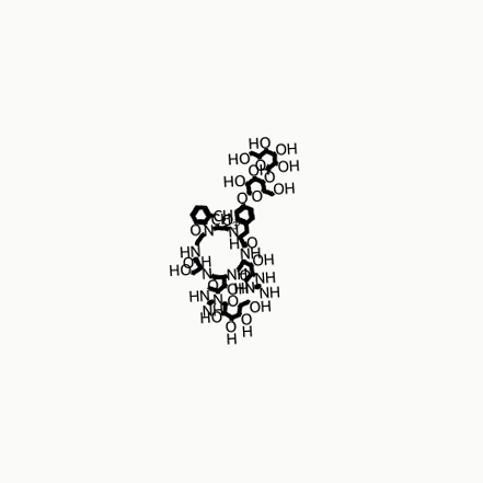 Cc1ccccc1N1C(=O)CNC(=O)C(CO)NC(=O)C(C(O)C2CNC(=N)N2C2OC(CO)C(O)C(O)C2O)NC(=O)C(C(O)C2CNC(=N)N2)NC(=O)C(Cc2ccc(OC3OC(CO)C(OC4OC(CO)C(O)C(O)C4O)C(O)C3O)cc2)NC(=O)C1C